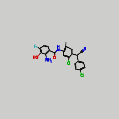 Cc1cc(C(C#N)c2ccc(Cl)cc2)c(Cl)cc1NC(=O)c1ccc(F)c(O)c1N